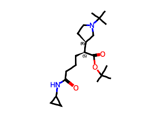 CC(C)(C)OC(=O)[C@@H](CCCC(=O)NC1CC1)[C@H]1CCN(C(C)(C)C)C1